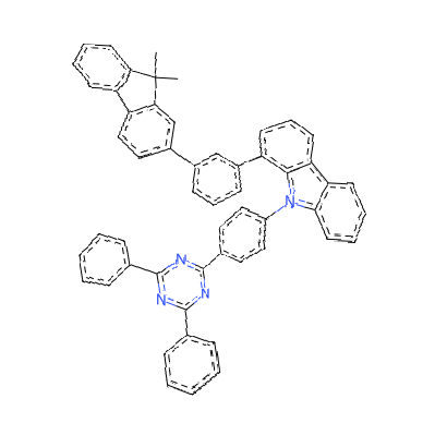 CC1(C)c2ccccc2-c2ccc(-c3cccc(-c4cccc5c6ccccc6n(-c6ccc(-c7nc(-c8ccccc8)nc(-c8ccccc8)n7)cc6)c45)c3)cc21